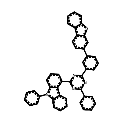 c1ccc(-c2nc(-c3cccc(-c4ccc5c(c4)sc4ccccc45)c3)nc(-c3cccc4c3c3ccccc3n4-c3ccccc3)n2)cc1